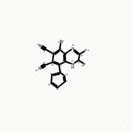 N#Cc1c(Br)c2c(c(-c3ccccc3)c1C#N)NC(F)C(F)=N2